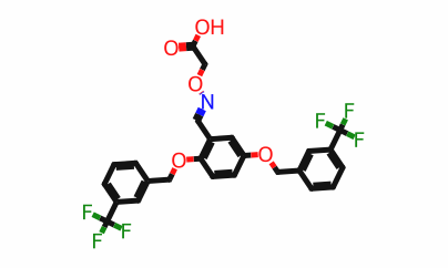 O=C(O)CO/N=C/c1cc(OCc2cccc(C(F)(F)F)c2)ccc1OCc1cccc(C(F)(F)F)c1